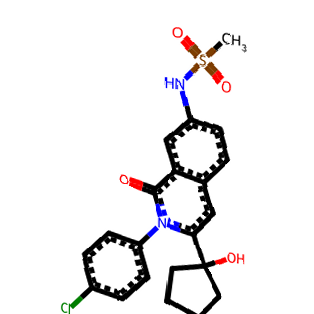 CS(=O)(=O)Nc1ccc2cc(C3(O)CCCC3)n(-c3ccc(Cl)cc3)c(=O)c2c1